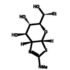 CC[C@@H](O)[C@H]1O[C@@H]2SC(NC)=N[C@@H]2[C@@H](O)[C@@H]1O